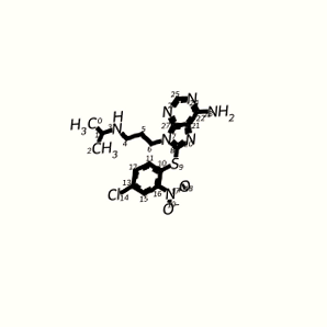 CC(C)NCCCn1c(Sc2ccc(Cl)cc2[N+](=O)[O-])nc2c(N)ncnc21